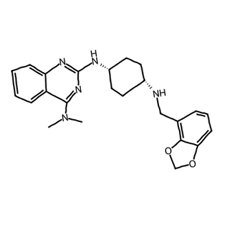 CN(C)c1nc(N[C@H]2CC[C@@H](NCc3cccc4c3OCO4)CC2)nc2ccccc12